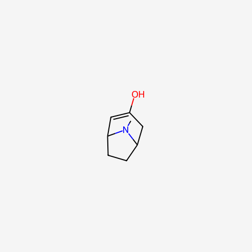 CN1C2C=C(O)CC1CC2